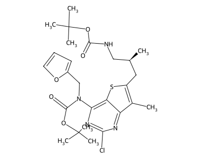 Cc1c(C[C@H](C)CNC(=O)OC(C)(C)C)sc2c(N(Cc3ccco3)C(=O)OC(C)(C)C)nc(Cl)nc12